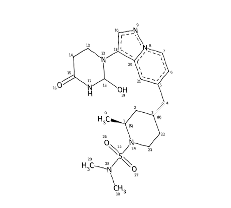 C[C@H]1C[C@H](Cc2ccn3ncc(N4CCC(=O)NC4O)c3c2)CCN1S(=O)(=O)N(C)C